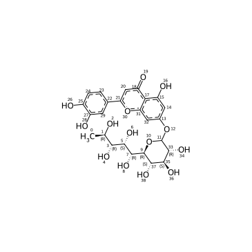 C[C@@H](O)[C@@H](O)[C@H](O)[C@@H](O)[C@H]1OC(Oc2cc(O)c3c(=O)cc(-c4ccc(O)c(O)c4)oc3c2)[C@H](O)[C@@H](O)[C@@H]1O